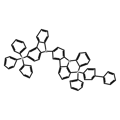 c1ccc(-c2ccc(S3(c4ccccc4)c4ccccc4-n4c5ccc(-n6c7ccccc7c7cc(S(c8ccccc8)(c8ccccc8)c8ccccc8)ccc76)cc5c5cccc3c54)cc2)cc1